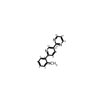 Cc1ccccc1-c1ccc(-c2ncccn2)cn1